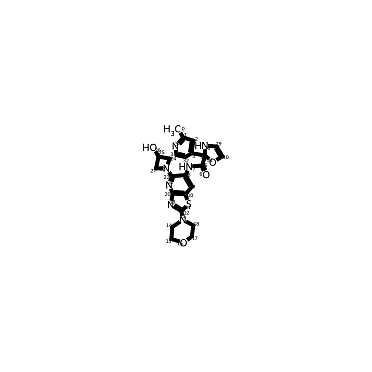 Cc1cc(C2(C(=O)Nc3cc4sc(N5CCOCC5)nc4nc3N3CC(O)C3)NC=CO2)ccn1